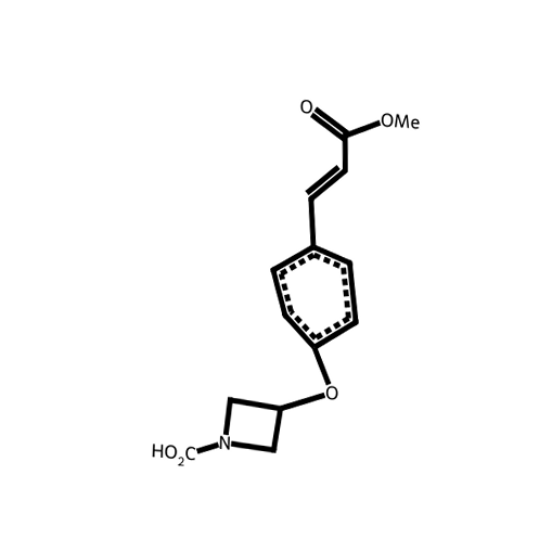 COC(=O)C=Cc1ccc(OC2CN(C(=O)O)C2)cc1